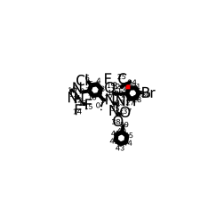 [CH2][C@@H](c1ccc(Cl)c(-c2ncnn2C(F)F)c1)N1C(=O)[C@@](CC(C)(C)C(F)(F)F)(c2ccc(Br)cc2)NC1=NC(=O)OCc1ccccc1